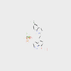 C[n+]1c(C=Cc2ccc(O)c3ncccc23)ccc2cc(Cl)ccc21.O=S(=O)([O-])C(F)(F)F